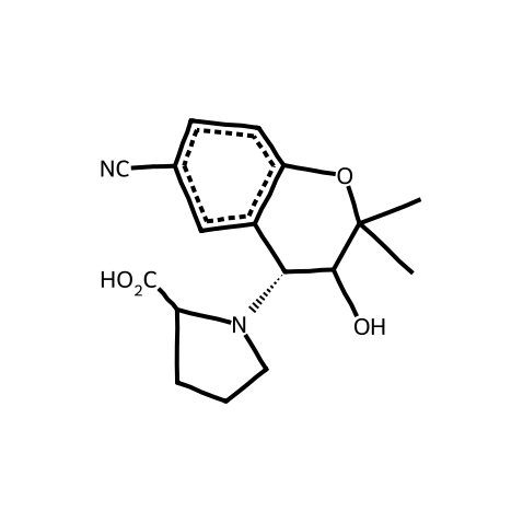 CC1(C)Oc2ccc(C#N)cc2[C@@H](N2CCCC2C(=O)O)C1O